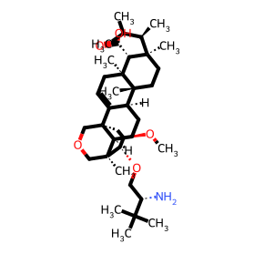 CO[C@@H]1C[C@@]23COC[C@@](C)([C@@H]2CC[C@H]2C3=CC[C@@]3(C)[C@H](C(=O)O)[C@@](C)([C@H](C)C(C)C)CC[C@]23C)[C@H]1OC[C@H](N)C(C)(C)C